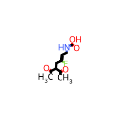 CC(=O)C(C/C(F)=C/CNC(=O)O)C(C)=O